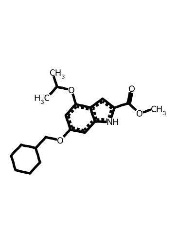 COC(=O)c1cc2c(OC(C)C)cc(OCC3CCCCC3)cc2[nH]1